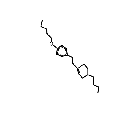 CCCCCOc1ccc(CCC2=CCC(CCCC)CC2)cc1